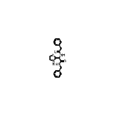 O=C(Cc1ccccc1)NC(C(=O)NCc1ccccc1)C1NCCS1